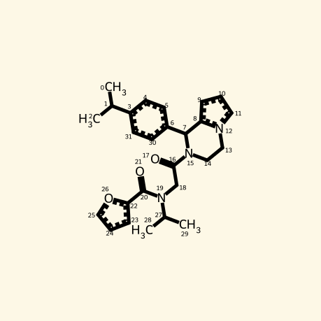 CC(C)c1ccc(C2c3cccn3CCN2C(=O)CN(C(=O)c2ccco2)C(C)C)cc1